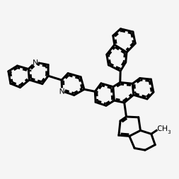 CC1CCCC2=CC=C(c3c4ccccc4c(-c4ccc5ccccc5c4)c4cc(-c5ccc(-c6cnc7ccccc7c6)nc5)ccc34)CC21